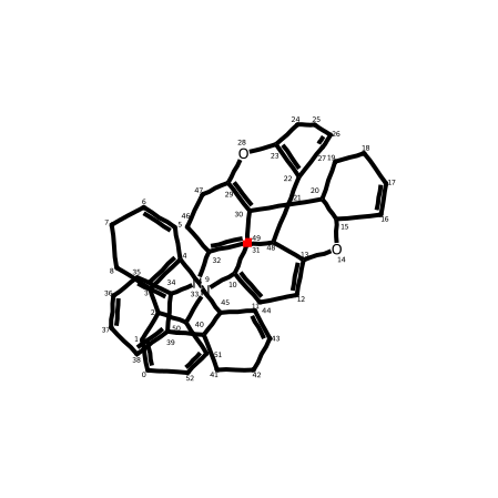 C1=CC2C3=C(C=CCC3)N(C3=CC=C4OC5C=CCCC5C5(C6=C(CCC=C6)OC6=C5C=C(N5c7ccccc7C7CCC=CC75)CC6)C4C3)C2C=C1